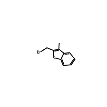 Cc1c(CBr)sc2ccccc12